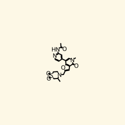 CC(=O)Nc1cc(-c2cn(C)c(=O)c3cc(CN4CCS(=O)(=O)CC4C)oc23)ccn1